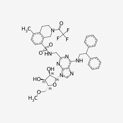 COC[C@H]1O[C@@H](n2cnc3c(NCC(c4ccccc4)c4ccccc4)nc(CNS(=O)(=O)c4ccc(C)c5c4CN(C(=O)C(F)(F)F)CC5)nc32)[C@H](O)[C@@H]1O